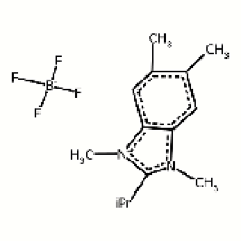 Cc1cc2c(cc1C)[n+](C)c(C(C)C)n2C.F[B-](F)(F)F